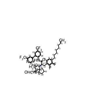 C=CCCCCCCc1ccc(C/C(C(=O)Nc2ccc(C(F)(F)F)cc2-c2cc(C(F)(F)F)ncn2)=C(/O)C2(N(C)NC=O)CCCC2)c(F)c1F